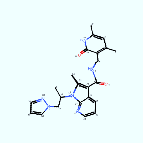 Cc1cc(C)c(CNC(=O)c2c(C)n(C(C)Cn3cccn3)c3ncccc23)c(=O)[nH]1